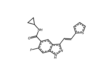 O=C(NC1CC1)c1cc2c(C=Cc3cccs3)n[nH]c2cc1F